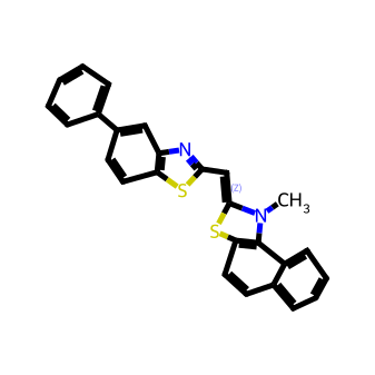 CN1/C(=C/c2nc3cc(-c4ccccc4)ccc3s2)Sc2ccc3ccccc3c21